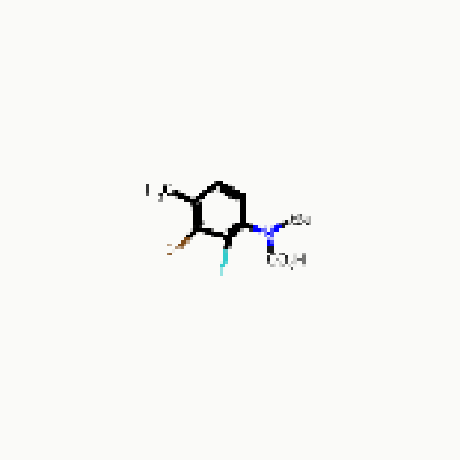 Cc1ccc(N(C(=O)O)C(C)(C)C)c(F)c1Br